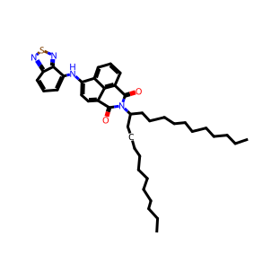 CCCCCCCCCCCC(CCCCCCCCCCC)N1C(=O)c2cccc3c(Nc4cccc5nsnc45)ccc(c23)C1=O